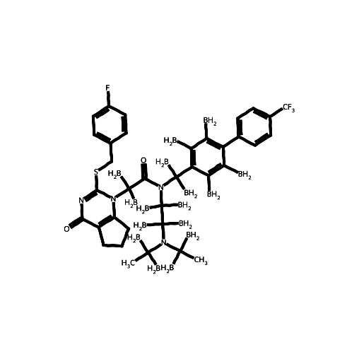 Bc1c(B)c(C(B)(B)N(C(=O)C(B)(B)n2c(SCc3ccc(F)cc3)nc(=O)c3c2CCC3)C(B)(B)C(B)(B)N(C(B)(B)C)C(B)(B)C)c(B)c(B)c1-c1ccc(C(F)(F)F)cc1